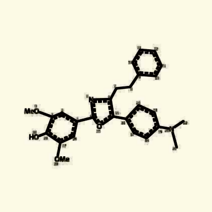 COc1cc(-c2nc(CCc3ccccc3)c(-c3ccc(N(C)C)cc3)o2)cc(OC)c1O